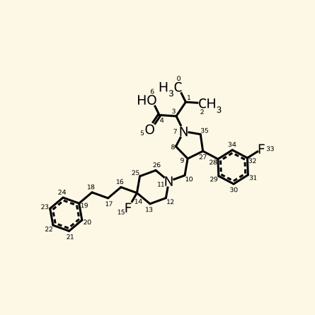 CC(C)C(C(=O)O)N1CC(CN2CCC(F)(CCCc3ccccc3)CC2)C(c2cccc(F)c2)C1